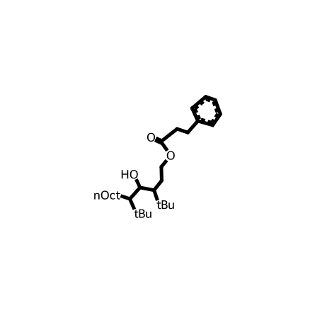 CCCCCCCCC(C(O)C(CCOC(=O)CCc1ccccc1)C(C)(C)C)C(C)(C)C